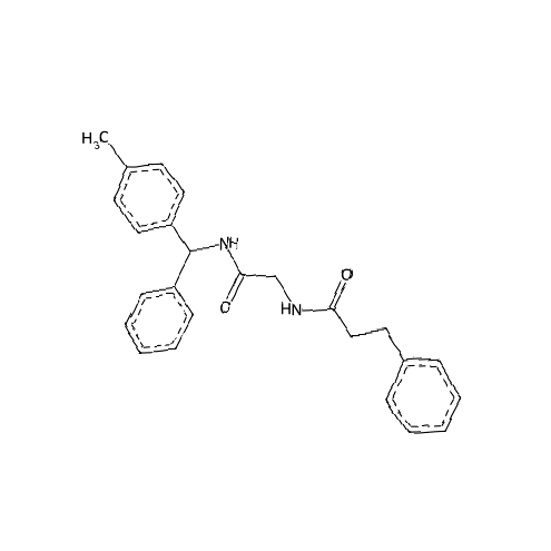 Cc1ccc(C(NC(=O)CNC(=O)CCc2ccccc2)c2ccccc2)cc1